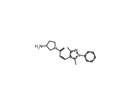 C=C(/C=C\c1c(C)nn(-c2ccccc2)c1C)N1CCC(N)C1